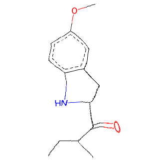 CCC(C)C(=O)C1Cc2cc(OC)ccc2N1